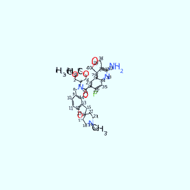 COCC(COC)N(Cc1ccc2c(c1)CC1(CCN(C)CC1)O2)C(=O)c1cc2c3c(c(N)nc2cc1F)COC3